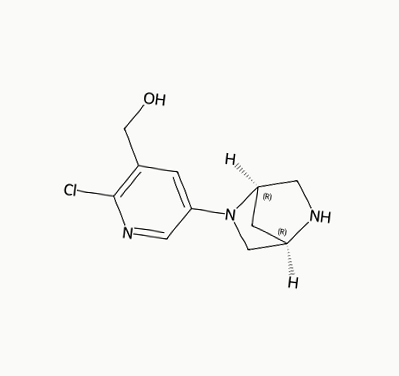 OCc1cc(N2C[C@H]3C[C@@H]2CN3)cnc1Cl